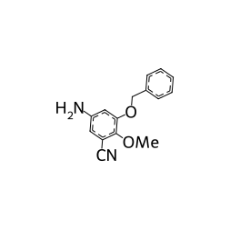 COc1c(C#N)cc(N)cc1OCc1ccccc1